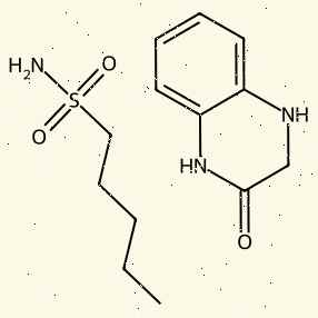 CCCCCS(N)(=O)=O.O=C1CNc2ccccc2N1